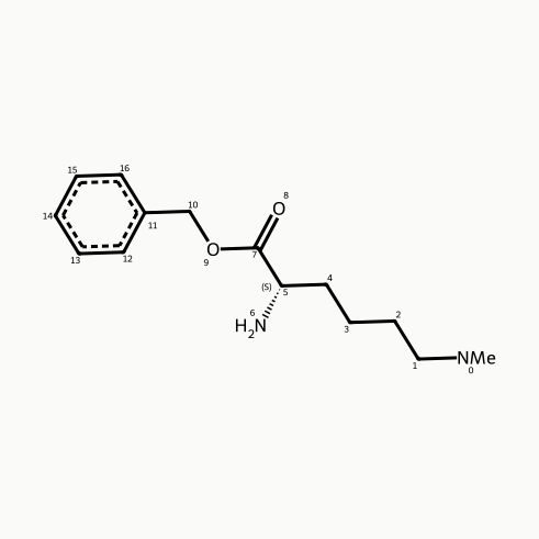 CNCCCC[C@H](N)C(=O)OCc1ccccc1